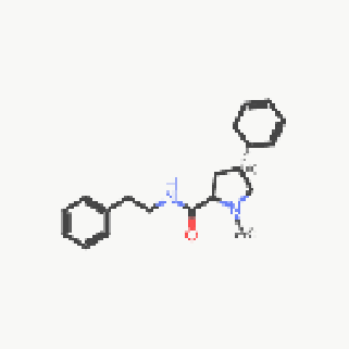 CC(=O)N1C[C@@H](C2C=CC=CC2)CC1C(=O)NCCc1ccccc1